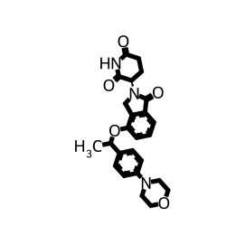 CC(Oc1cccc2c1CN([C@H]1CCC(=O)NC1=O)C2=O)c1ccc(N2CCOCC2)cc1